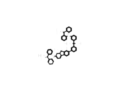 CC1(C)C2=CCCC=C2N(C2=CC=C3c4ccc(-c5cccc(C(C)(C)c6cccc(N7c8ccccc8C(C)(C)c8ccccc87)c6)c5)cc4C(C)(C)C3C2)c2ccccc21